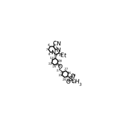 CCc1nc2c(C#N)cccn2c1-c1cccc(OCc2ccc(S(C)(=O)=O)cc2)c1